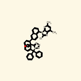 CCc1nc2c(C)cc(C)nc2n1-c1cccc2cc(-c3ccccc3-c3nnnn3C(c3ccccc3)(c3ccccc3)c3ccccc3)ccc12